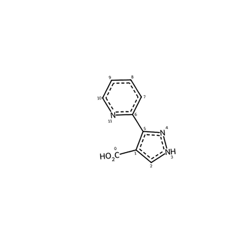 O=C(O)c1c[nH]nc1-c1ccccn1